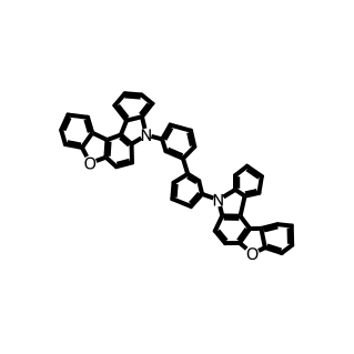 c1cc(-c2cccc(-n3c4ccccc4c4c5c(ccc43)oc3ccccc35)c2)cc(-n2c3ccccc3c3c4c(ccc32)oc2ccccc24)c1